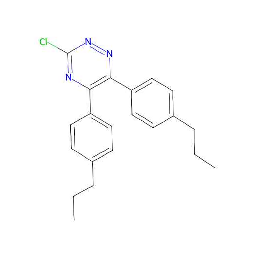 CCCc1ccc(-c2nnc(Cl)nc2-c2ccc(CCC)cc2)cc1